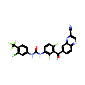 N#Cc1cnc2ccc(C(=O)c3c(F)ccc(NC(=O)Nc4ccc(C(F)(F)F)c(Cl)c4)c3F)cc2n1